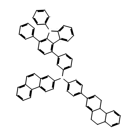 C1=CC2CCC3=CC(c4ccc(N(c5cccc(-c6ccc(-c7ccccc7)c7c6c6ccccc6n7-c6ccccc6)c5)c5ccc6c(ccc7ccccc76)c5)cc4)=CCC3C2C=C1